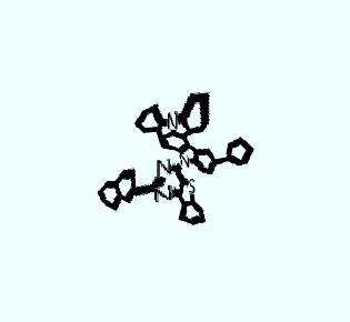 c1ccc(-c2ccc3c(c2)c2c4c5ccccc5n5c6ccccc6c(cc2n3-c2nc(-c3ccc6ccccc6c3)nc3c2sc2ccccc23)c45)cc1